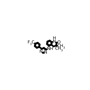 CC1(C)Cc2c(cccc2Nc2cc(-c3ccc(C(F)(F)F)cc3)ncn2)NC1=O